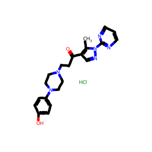 Cc1c(C(=O)CCN2CCN(c3ccc(O)cc3)CC2)cnn1-c1ncccn1.Cl